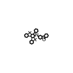 CC1(C)c2ccccc2-c2c3c(c4c(c21)c1ccccc1n4-c1ccc2oc4ccccc4c2c1)C(C)(C)c1ccccc1-3